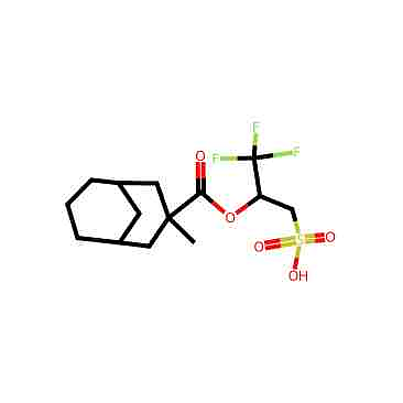 CC1(C(=O)OC(CS(=O)(=O)O)C(F)(F)F)CC2CCCC(C2)C1